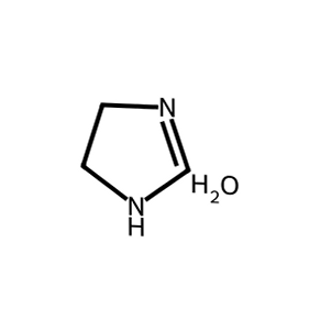 C1=NCCN1.O